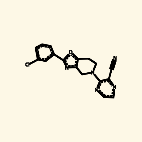 N#Cc1nccnc1N1CCc2oc(-c3cccc(Cl)c3)nc2C1